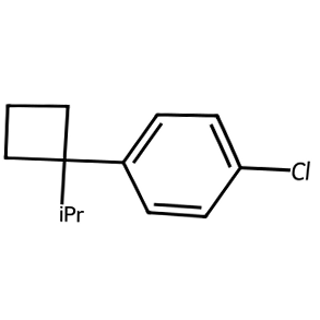 CC(C)C1(c2ccc(Cl)cc2)CCC1